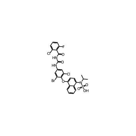 CC(C)N(c1ccc(Oc2c(Cl)cc(NC(=O)NC(=O)c3c(F)cccc3Cl)cc2Br)c2ccccc12)S(=O)(=O)O